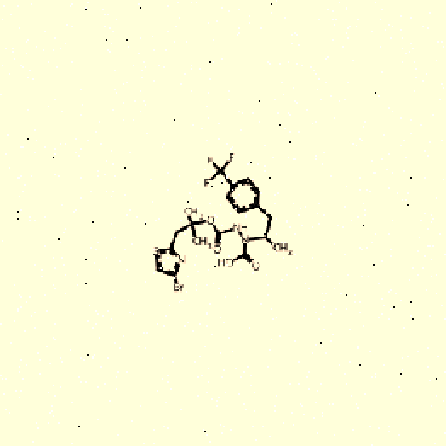 CC(Cc1ccc(C(F)(F)F)cc1)N(NC(=O)OC(C)(C)Cc1nc(Br)cs1)C(=O)O